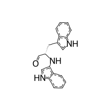 O=C[C@H](Cc1c[nH]c2ccccc12)Nc1c[nH]c2ccccc12